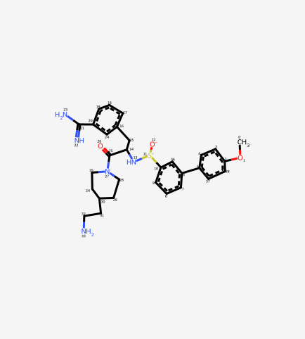 COc1ccc(-c2cccc([S+]([O-])NC(Cc3cccc(C(=N)N)c3)C(=O)N3CCC(CCN)CC3)c2)cc1